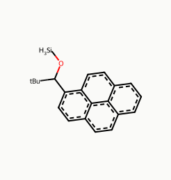 CC(C)(C)C(O[SiH3])c1ccc2ccc3cccc4ccc1c2c34